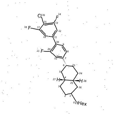 CCCCCCC1CC[C@@H]2C[C@H](c3ccc(-c4cc(F)c(Cl)c(F)c4)c(F)c3)CC[C@@H]2C1